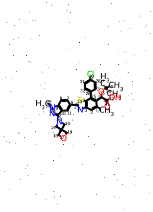 Cc1cc2nc(-c3ccc4c(c3)c(N3CC5(COC5)C3)nn4C)sc2c(-c2ccc(Cl)cc2)c1C(OC(C)(C)C)C(=O)O